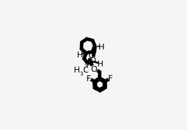 C[C@@]12C[C@H]3CCCC[C@@H](O1)C3C[C@@H]2OCc1c(F)cccc1F